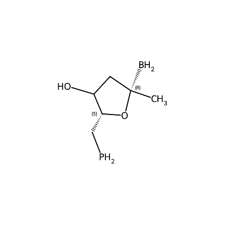 B[C@@]1(C)CC(O)[C@@H](CP)O1